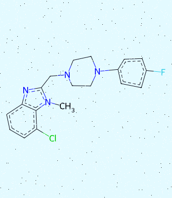 Cn1c(CN2CCN(c3ccc(F)cc3)CC2)nc2cccc(Cl)c21